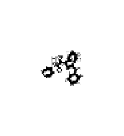 O=C(Nc1ccncc1)C(=O)c1cc(Cc2ccccc2)n2ccccc12